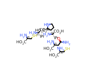 CC(C)[C@H](N)C(=O)O.CC(C)[C@H](N)C(=O)O.NC(=O)C[C@H](N)C(=O)O.N[C@@H](CS)C(=O)O.N[C@@H](CS)C(=O)O.O=C(O)[C@@H]1CCCN1